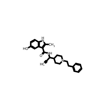 C#CC(NC(=O)c1c(C)[nH]c2ccc(O)cc12)C1CCN(CCc2ccccc2)CC1